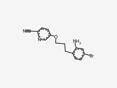 N#Cc1ccc(OCCCc2ccc(Br)cc2N)cn1